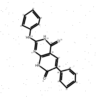 O=c1[nH]c2nc(Nc3ccccc3)[nH]c(=O)c2cc1-c1ccccc1